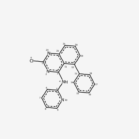 Clc1nc(Nc2ccccn2)c2c(-c3ccccc3)cccc2n1